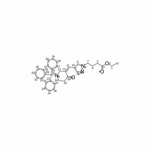 CCOC(=O)CCCn1cc(/C=C2/CN(C(c3ccccc3)(c3ccccc3)c3ccccc3)CCC2=O)cn1